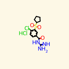 Cl.N=C(N)NC(=O)c1ccc(Cl)c(S(=O)(=O)C2CCCC2)c1